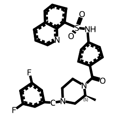 C[C@H]1CN(Cc2cc(F)cc(F)c2)CCN1C(=O)c1ccc(NS(=O)(=O)c2cccc3cccnc23)cc1